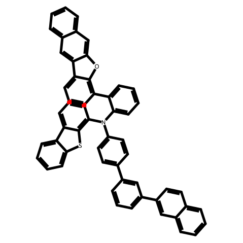 c1cc(-c2ccc(N(c3ccccc3-c3cccc4c3oc3cc5ccccc5cc34)c3cccc4c3sc3ccccc34)cc2)cc(-c2ccc3ccccc3c2)c1